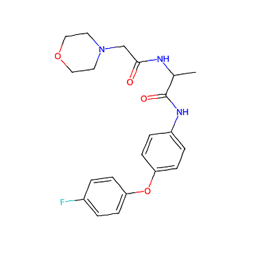 CC(NC(=O)CN1CCOCC1)C(=O)Nc1ccc(Oc2ccc(F)cc2)cc1